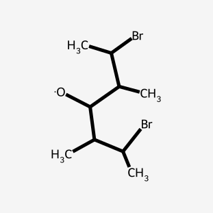 CC(Br)C(C)C([O])C(C)C(C)Br